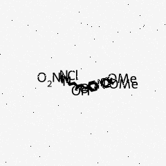 COC1(OC)CCN(c2ccc(OCC(O)CCn3cc([N+](=O)[O-])nc3Cl)cc2)CC1